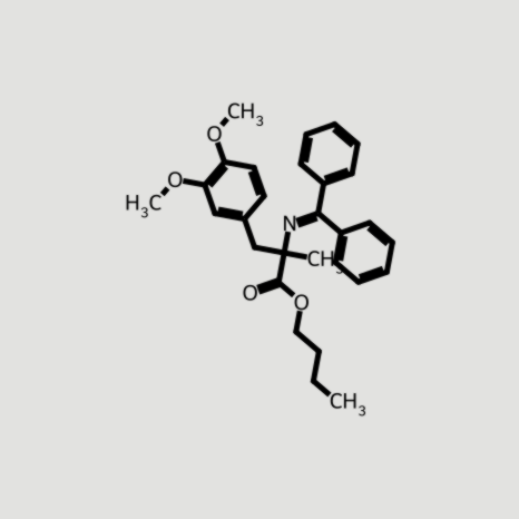 CCCCOC(=O)C(C)(Cc1ccc(OC)c(OC)c1)N=C(c1ccccc1)c1ccccc1